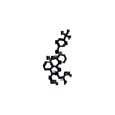 C=N/C(=N\C=C(/C)F)c1ccccc1C(=O)N1CCC[C@@H](Oc2cnc(C(F)(F)F)cn2)[C@@H]1C